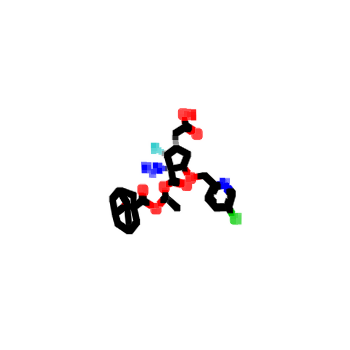 C[C@@H](OC(=O)C12CC3CC(CC(C3)C1)C2)OC(=O)[C@@]1(N)[C@H](F)[C@H](CC(=O)O)C[C@H]1OCc1ccc(Cl)cn1